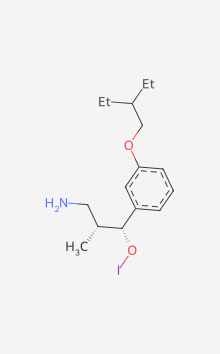 CCC(CC)COc1cccc([C@H](OI)[C@H](C)CN)c1